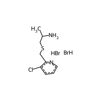 Br.Br.CC(N)CSCc1ncccc1Cl